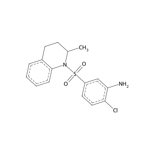 CC1CCc2ccccc2N1S(=O)(=O)c1ccc(Cl)c(N)c1